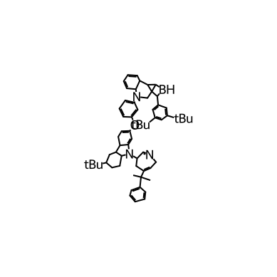 CC(C)(C)c1cc(C2BC3C4C5C=CC=CC5N(c5cccc(OC6=CCC7C(=C6)N(C6C=NCC=C(C(C)(C)c8ccccc8)C6)C6CCC(C(C)(C)C)CC76)c5)CC234)cc(C(C)(C)C)c1